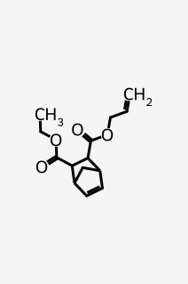 C=CCOC(=O)C1C2C=CC(C2)C1C(=O)OCC